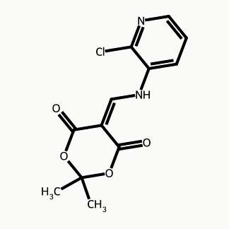 CC1(C)OC(=O)C(=CNc2cccnc2Cl)C(=O)O1